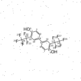 Oc1ccc(-c2ccc(O)c(C(F)(F)C(F)(F)F)c2)cc1C(F)(F)C(F)(F)F